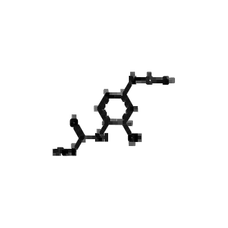 CCCCCC(=O)Nc1ccc(N=C=S)cc1O